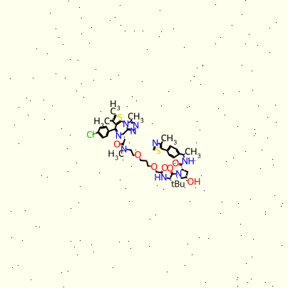 Cc1ncsc1-c1ccc([C@H](C)NC(=O)[C@@H]2C[C@@H](O)CN2C(=O)[C@@H](NC(=O)COCCCOCCN(C)C(=O)C[C@@H]2N=C(c3ccc(Cl)cc3)c3c(sc(C)c3C)-n3c(C)nnc32)C(C)(C)C)cc1